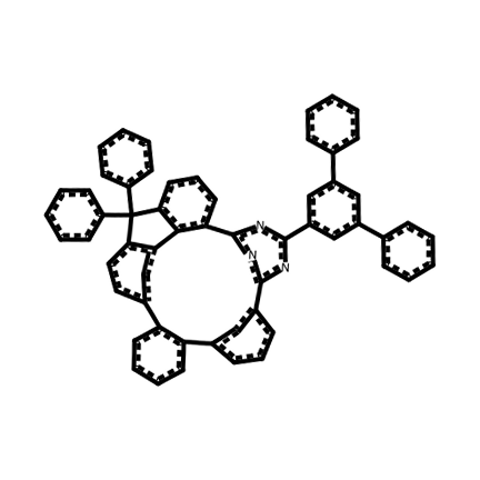 c1ccc(-c2cc(-c3ccccc3)cc(-c3nc4nc(n3)-c3cccc5c3-c3cc(ccc3C5(c3ccccc3)c3ccccc3)-c3ccccc3-c3cccc-4c3)c2)cc1